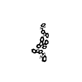 c1ccc(C2(c3ccccc3)c3cc(-n4c5ccccc5c5cc(-c6nc7ccccc7s6)ccc54)ccc3-c3ccc(-n4c5ccccc5c5cc(-c6nc7ccccc7s6)ccc54)cc32)cc1